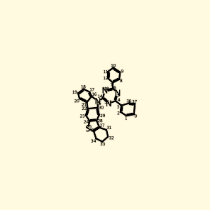 c1ccc(-c2nc(-c3ccccc3)nc(-n3c4ccccc4c4cc5sc6c(c5cc43)CCCC6)n2)cc1